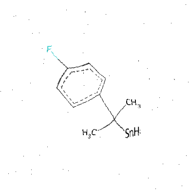 C[C](C)([SnH])c1ccc(F)cc1